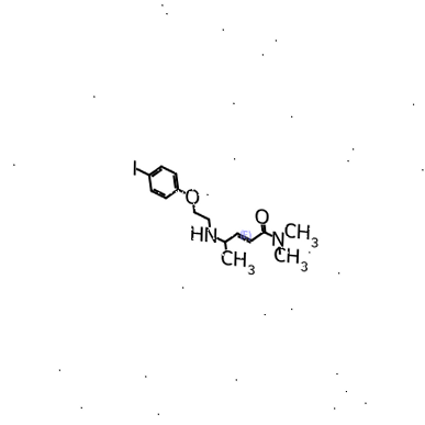 CC(/C=C/C(=O)N(C)C)NCCOc1ccc(I)cc1